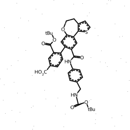 CC(C)(C)OC(=O)NCc1ccc(NC(=O)c2cc3c(cc2-c2ccc(C(=O)O)cc2C(=O)OC(C)(C)C)OCCc2ccsc2-3)cc1